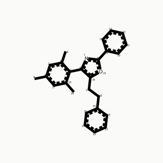 Cc1cc(C)c(-c2nc(-c3ccccc3)oc2CCc2ccccc2)c(C)c1